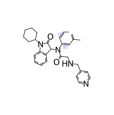 C=C(C)/C=C(\C=C/C)N(C(=O)CNCc1ccncc1)C1C(=O)N(C2CCCCC2)c2ccccc21